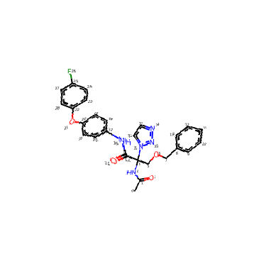 CC(=O)NC(COCc1ccccc1)(C(=O)Nc1ccc(Oc2ccc(F)cc2)cc1)n1ccnn1